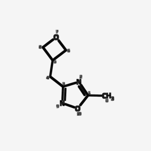 Cc1nc(CC2COC2)no1